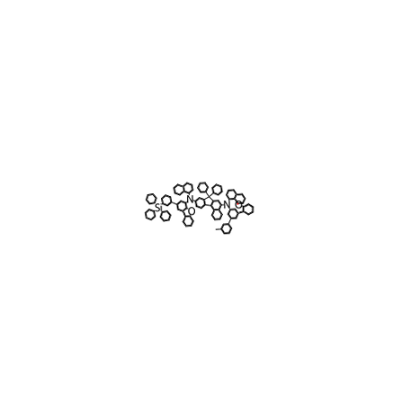 Cc1cccc(-c2cc(N(c3cccc4ccccc34)c3cc4c(c5ccccc35)-c3ccc(N(c5cccc6ccccc56)c5cc(-c6cccc([Si](c7ccccc7)(c7ccccc7)c7ccccc7)c6)cc6c5oc5ccccc56)cc3C4(c3ccccc3)c3ccccc3)c3oc4ccccc4c3c2)c1